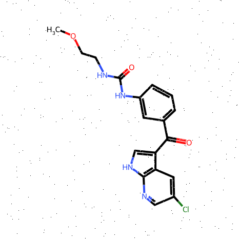 COCCNC(=O)Nc1cccc(C(=O)c2c[nH]c3ncc(Cl)cc23)c1